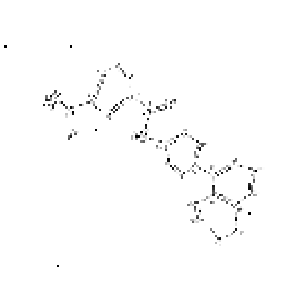 C[S+]([O-])c1cccc(C(=O)Nc2ccc(-c3cccc4c3C=CCC4)cc2)c1